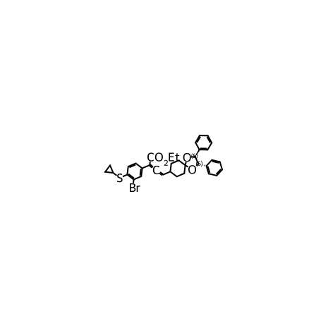 CCOC(=O)C(=C=CC1CCC2(CC1)O[C@@H](c1ccccc1)[C@H](c1ccccc1)O2)c1ccc(SC2CC2)c(Br)c1